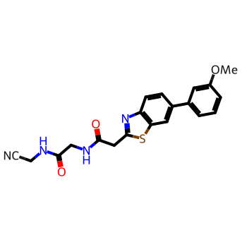 COc1cccc(-c2ccc3nc(CC(=O)NCC(=O)NCC#N)sc3c2)c1